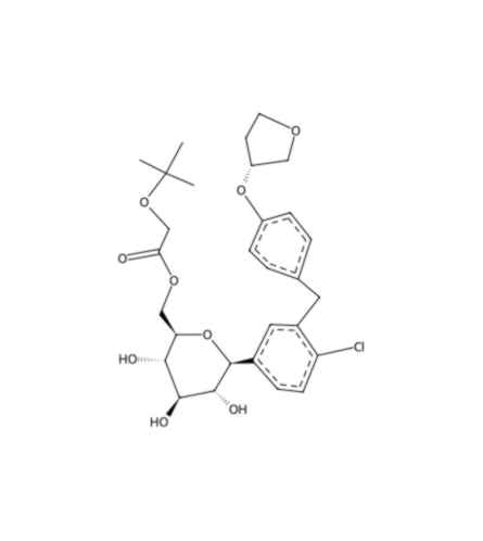 CC(C)(C)OCC(=O)OC[C@H]1O[C@@H](c2ccc(Cl)c(Cc3ccc(O[C@@H]4CCOC4)cc3)c2)[C@H](O)[C@@H](O)[C@@H]1O